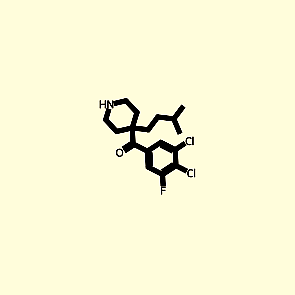 CC(C)CCC1(C(=O)c2cc(F)c(Cl)c(Cl)c2)CCNCC1